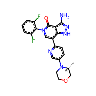 C[C@@H]1COCCN1c1ccc(-c2cn(-c3c(F)cccc3F)c(=O)c3c(N)n[nH]c23)nc1